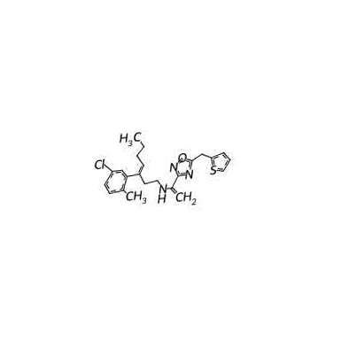 C=C(NCC/C(=C/CCC)c1cc(Cl)ccc1C)c1noc(Cc2cccs2)n1